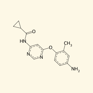 Cc1cc(N)ccc1Oc1cc(NC(=O)C2CC2)ncn1